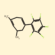 CC1=CC(C)CC(c2c(F)c(F)c(F)c(F)c2F)=CC1